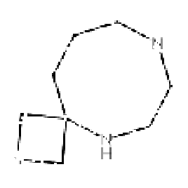 C1CNCCNC2(C1)CSC2